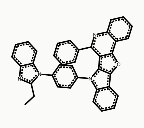 CCc1nc2ccccc2n1-c1ccc(-n2c3ccccc3c3oc4c5ccccc5nc(-c5ccccc5)c4c32)cc1